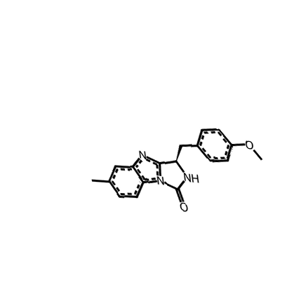 COc1ccc(C[C@H]2NC(=O)n3c2nc2cc(C)ccc23)cc1